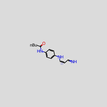 CCCCC(=O)Nc1ccc(N/C=C\C=N)cc1